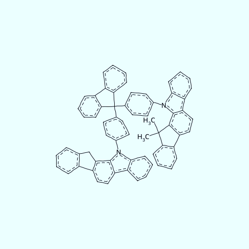 CC1(C)c2ccccc2-c2ccc3c4ccccc4n(-c4ccc(C5(c6ccc(-n7c8ccccc8c8ccc9c(c87)Cc7ccccc7-9)cc6)c6ccccc6-c6ccccc65)cc4)c3c21